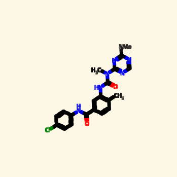 CNc1ncnc(N(C)C(=O)Nc2cc(C(=O)Nc3ccc(Cl)cc3)ccc2C)n1